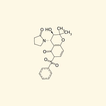 CC1(C)OC2=C(C(=O)C(S(=O)(=O)c3ccccc3)C=C2)[C@H](N2CCCC2=O)[C@H]1O